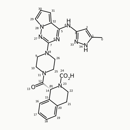 Cc1cc(Nc2nc(N3CCN(C(=O)[C@H]4c5ccccc5CCN4C(=O)O)CC3)nn3cccc23)n[nH]1